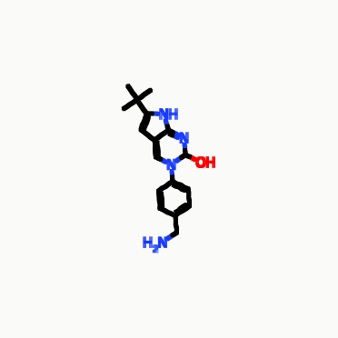 CC(C)(C)c1cc2c([nH]1)=NC(O)N(c1ccc(CN)cc1)C=2